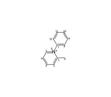 Cc1cccc[n+]1-c1cc[c]cc1